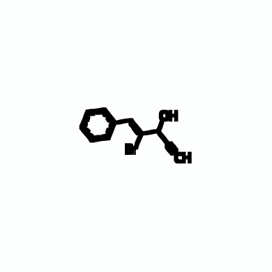 C#CC(O)C(Br)=Cc1ccccc1